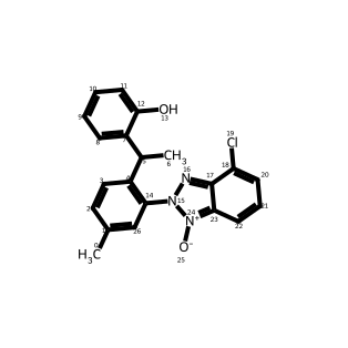 Cc1ccc(C(C)c2ccccc2O)c(-n2nc3c(Cl)cccc3[n+]2[O-])c1